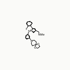 CNCc1cc(-c2ccccc2F)n(Sc2cccc(N3CCC4(CC3)OCCO4)c2)c1